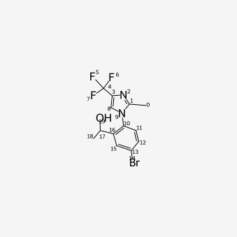 Cc1nc(C(F)(F)F)cn1-c1ccc(Br)cc1C(C)O